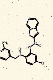 Nc1cc(C[S+]([O-])c2ccc(Cl)cc2N[S+]([O-])c2cc3ccccc3o2)ccn1